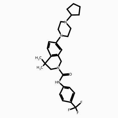 CC1(C)CN(C(=O)Nc2ccc(C(F)(F)F)cc2)Cc2cc(N3CCN(C4CCCC4)CC3)ccc21